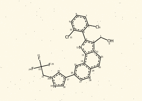 OCc1c(-c2c(Cl)cccc2Cl)nc2c3cc(-c4cnn(CC(F)(F)F)c4)cnc3ccn12